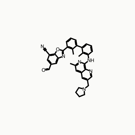 Cc1cc2cc(CN3CCCC3)cnc2c(Nc2cccc(-c3cccc(-c4nc5cc(C=O)cc(C#N)c5o4)c3C)c2C)n1